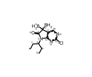 BC1(B)C(=O)N(C(CC)CC)c2nc(Cl)ncc21